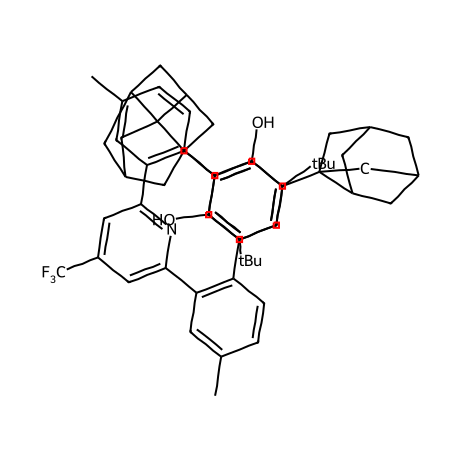 Cc1ccc(-c2cc(C(C)(C)C)cc(C34CC5CC(CC3C5)C4)c2O)c(-c2cc(C(F)(F)F)cc(-c3cc(C)ccc3-c3cc(C(C)(C)C)cc(C45CC6CC7CC(C4)C75C6)c3O)n2)c1